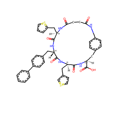 O=C1CCC(=O)N[C@H](Cc2cccs2)C(=O)N[C@@H](Cc2ccc(-c3ccccc3)cc2)C(=O)N[C@H](Cc2ccsc2)C(=O)N[C@H](C(=O)O)Cc2ccc(cc2)N1